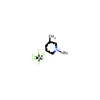 CCCC[n+]1cccc(C)c1.[F][Sb-]([F])([F])([F])([F])[F]